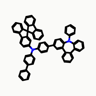 c1ccc(-c2ccc(N(c3ccc(-c4ccc5c(c4)-c4ccccc4-c4ccccc4N5c4ccccc4)cc3)c3ccc4c(c3)C3(c5ccccc5-c5ccccc53)c3ccccc3-4)cc2)cc1